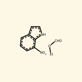 CCOC=O.O=[N+]([O-])c1cccc2cc[nH]c12